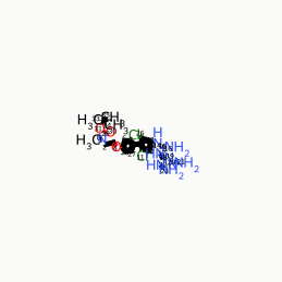 CN(CCOc1ccc(-c2c(Cl)cc(NC(N)NC(N=NN)NN)cc2Cl)cc1)C(=O)OC(C)(C)C